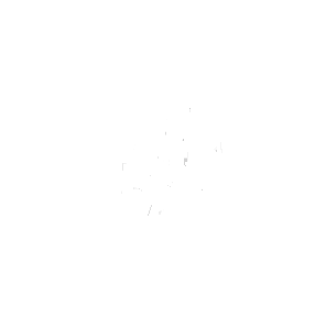 CC(C)(OC(F)(F)CF)C(F)(C(=O)F)C(F)(F)F